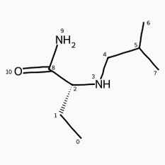 CC[C@@H](NCC(C)C)C(N)=O